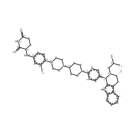 C[C@@H]1Cc2c([nH]c3ccccc23)[C@@H](c2cnc(N3CCC(N4CCN(c5ccc(NC6CCC(=O)NC6=O)cc5F)CC4)CC3)nc2)N1CC(F)F